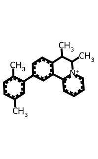 Cc1ccc(C)c(-c2ccc3c(c2)-c2cccc[n+]2C(C)C3C)c1